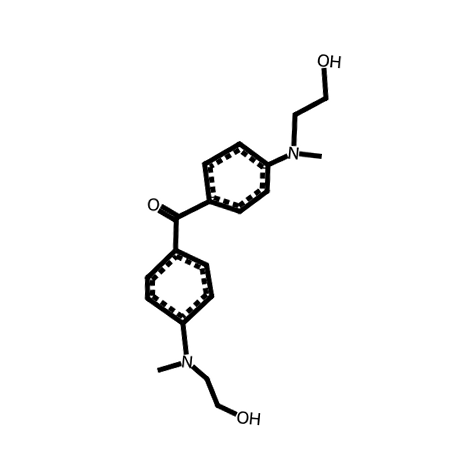 CN(CCO)c1ccc(C(=O)c2ccc(N(C)CCO)cc2)cc1